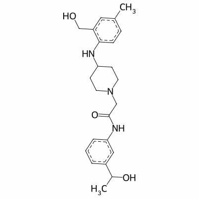 Cc1ccc(NC2CCN(CC(=O)Nc3cccc(C(C)O)c3)CC2)c(CO)c1